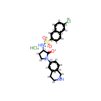 Cl.O=C1[C@H](NS(=O)(=O)c2ccc3cc(Cl)ccc3c2)CCN1c1ccc2c(c1)CCNC2